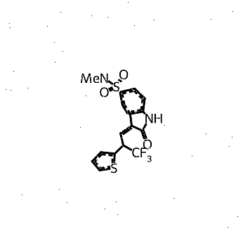 CNS(=O)(=O)c1ccc2c(c1)C(=CC(c1cccs1)C(F)(F)F)C(=O)N2